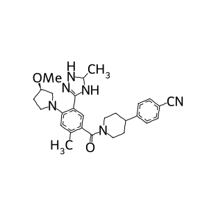 CO[C@@H]1CCN(c2cc(C)c(C(=O)N3CCC(c4ccc(C#N)cc4)CC3)cc2C2=NNC(C)N2)C1